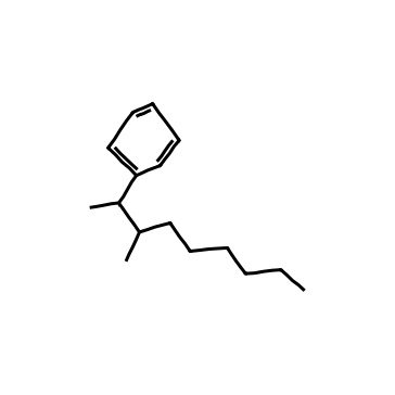 CCCCCCC(C)[C](C)c1ccccc1